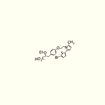 CCOC(Cc1ccc(OCCn2c(C)ccc2-c2ccc(Br)s2)cc1)C(=O)O